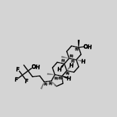 C[C@H](CCC(C)(O)C(F)(F)F)[C@H]1CC[C@H]2[C@@H]3CC[C@@H]4C[C@@](C)(O)CC[C@]4(C)[C@H]3CC[C@]12C